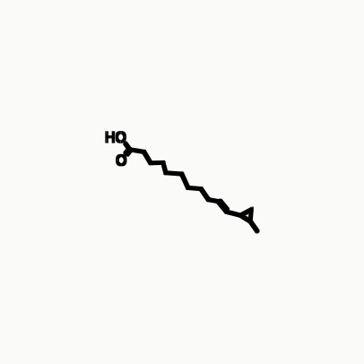 CC1CC1C=CCCCCCCCCC(=O)O